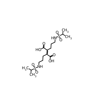 CC(C)S(=O)(=O)NCCCC(C(=O)O)=C(CCCNS(=O)(=O)C(C)C)C(=O)O